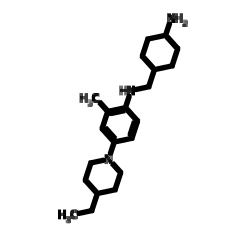 CCC1CCN(c2ccc(NCC3CCC(N)CC3)c(C)c2)CC1